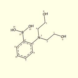 OCCN(CCO)c1ccccc1B(O)O